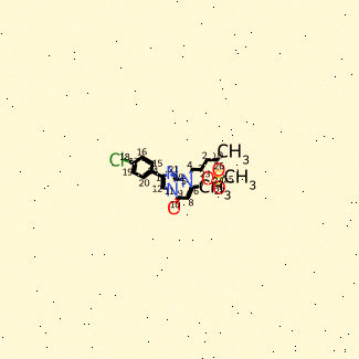 CCCC(Cn1c(C)cc(=O)n2cc(-c3ccc(Cl)cc3)nc12)OS(C)(=O)=O